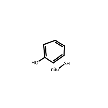 CCCCS.Oc1ccccc1